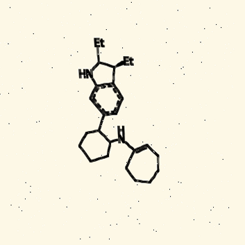 CCC1Nc2cc(C3CCCCC3NC3=CCCCCC3)ccc2[C@@H]1CC